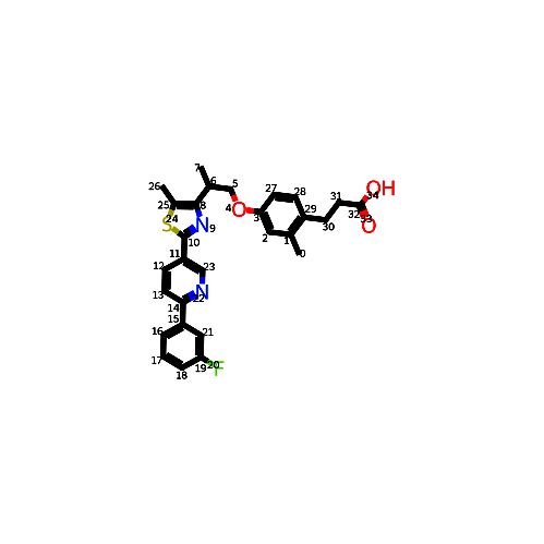 Cc1cc(OCC(C)c2nc(-c3ccc(-c4cccc(F)c4)nc3)sc2C)ccc1CCC(=O)O